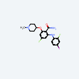 CN1CCC(Oc2cc(F)cc(Nc3ccc(I)cc3F)c2C(N)=O)CC1